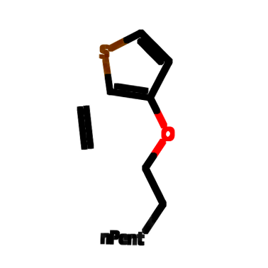 C=C.CCCCCCCOc1ccsc1